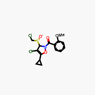 COc1ccccc1C(=O)N1OC(C2CC2)=C(Cl)C1[S+]([O-])CCl